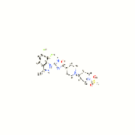 CCc1nn(-c2noc(C3CCN(C4CCN(S(C)(=O)=O)CC4)CC3)n2)c2c(F)c(F)ccc12